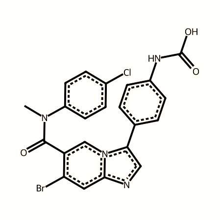 CN(C(=O)c1cn2c(-c3ccc(NC(=O)O)cc3)cnc2cc1Br)c1ccc(Cl)cc1